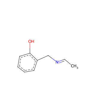 CC=NCc1ccccc1O